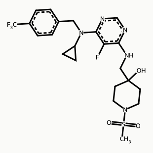 CS(=O)(=O)N1CCC(O)(CNc2ncnc(N(Cc3ccc(C(F)(F)F)cc3)C3CC3)c2F)CC1